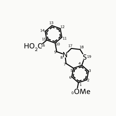 COc1ccc2c(c1)CN(Cc1ccccc1C(=O)O)CCS2